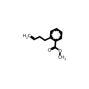 C=CCCc1ccccc1C(=O)OC